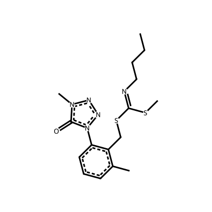 CCCCN=C(SC)SCc1c(C)cccc1-n1nnn(C)c1=O